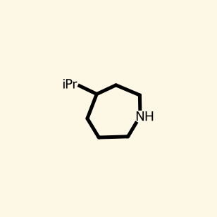 CC(C)C1CCCNCC1